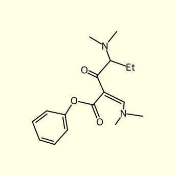 CCC(C(=O)C(=CN(C)C)C(=O)Oc1ccccc1)N(C)C